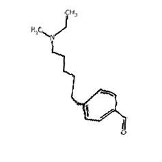 CCN(C)CCCCCc1ccc([C]=O)cc1